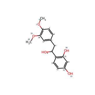 COc1ccc(CC(O)c2ccc(O)cc2O)cc1OC